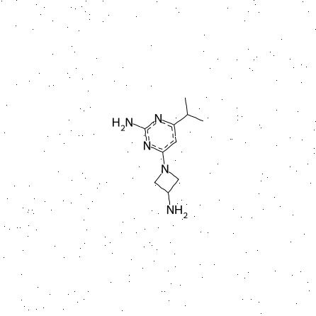 CC(C)c1cc(N2CC(N)C2)nc(N)n1